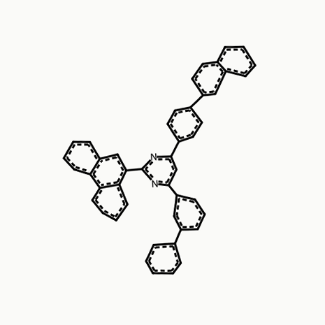 c1ccc(-c2cccc(-c3cc(-c4ccc(-c5ccc6ccccc6c5)cc4)nc(-c4cc5ccccc5c5ccccc45)n3)c2)cc1